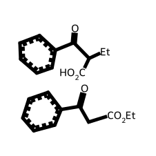 CCC(C(=O)O)C(=O)c1ccccc1.CCOC(=O)CC(=O)c1ccccc1